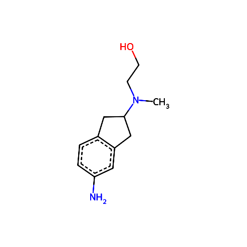 CN(CCO)C1Cc2ccc(N)cc2C1